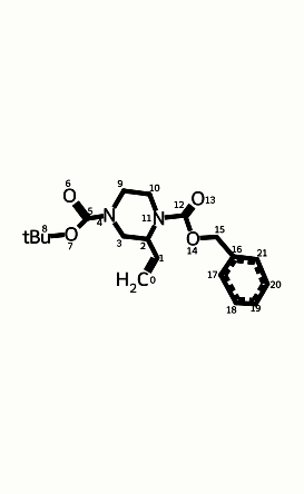 C=CC1CN(C(=O)OC(C)(C)C)CCN1C(=O)OCc1ccccc1